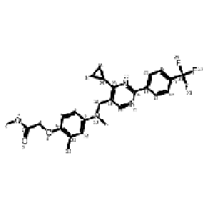 COC(=O)COc1ccc(N(C)Cc2cnc(-c3ccc(C(F)(F)F)cc3)nc2C2CC2)cc1C